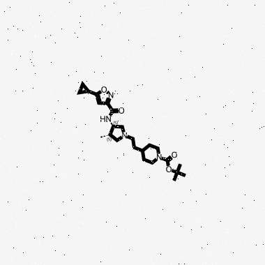 C[C@H]1CN(CCC2CCN(C(=O)OC(C)(C)C)CC2)C[C@H]1NC(=O)c1cc(C2CC2)on1